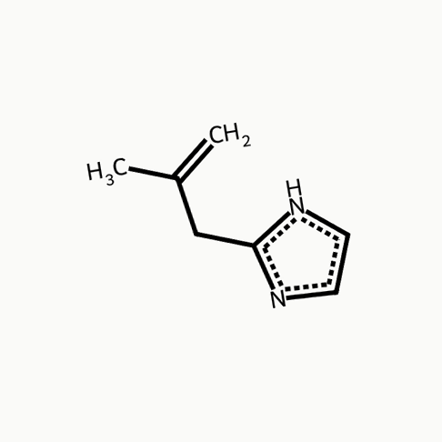 C=C(C)Cc1ncc[nH]1